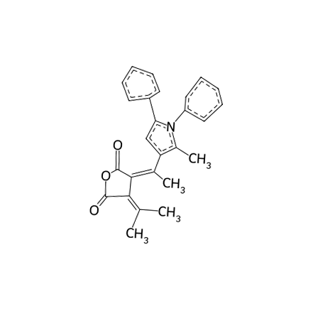 CC(C)=C1C(=O)OC(=O)C1=C(C)c1cc(-c2ccccc2)n(-c2ccccc2)c1C